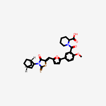 COc1ccc(-c2ccc(C=C3SC(=S)N(C4C[C@@H]5CC[C@H]4C5)C3=O)o2)cc1C(=O)N1CCCCC1C(=O)O